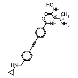 C[C@H](N)[C@H](NC(=O)c1ccc(C#Cc2ccc(CNC3CC3)cc2)cc1)C(=O)NO